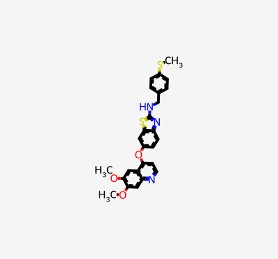 COc1cc2nccc(Oc3ccc4nc(NCc5ccc(SC)cc5)sc4c3)c2cc1OC